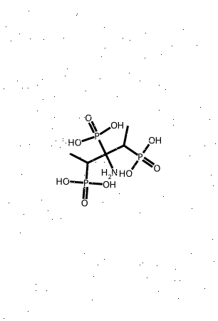 CC(C(N)(C(C)P(=O)(O)O)P(=O)(O)O)P(=O)(O)O